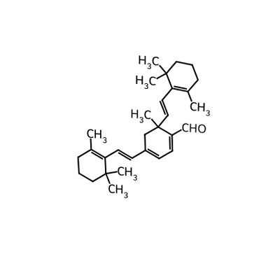 CC1=C(C=CC2=CC=C(C=O)C(C)(C=CC3=C(C)CCCC3(C)C)C2)C(C)(C)CCC1